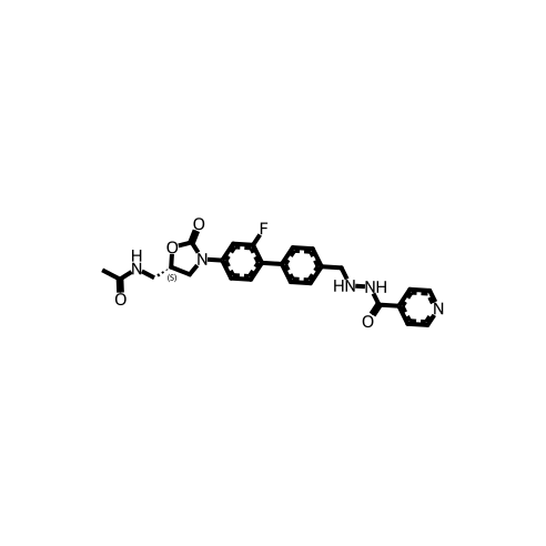 CC(=O)NC[C@H]1CN(c2ccc(-c3ccc(CNNC(=O)c4ccncc4)cc3)c(F)c2)C(=O)O1